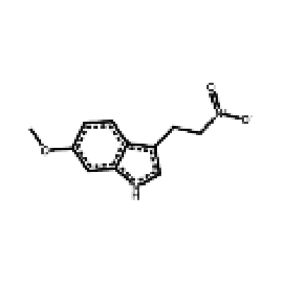 COc1ccc2c(CC[N+](=O)[O-])c[nH]c2c1